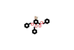 O=C(OCc1ccccc1)c1cc(Br)cc(OCc2ccccc2)c1OCc1ccccc1